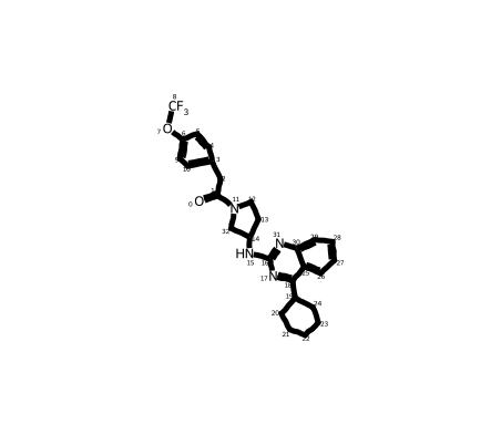 O=C(Cc1ccc(OC(F)(F)F)cc1)N1CCC(Nc2nc(C3CCCCC3)c3ccccc3n2)C1